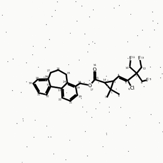 CC1(C)C(/C=C(\Cl)C(CF)(CF)CF)C1C(=O)OCc1cccc2c1CCCc1ccccc1-2